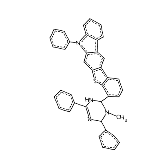 CN1C(c2ccccc2)N=C(c2ccccc2)NC1c1cccc2c1sc1cc3c(cc12)c1ccccc1n3-c1ccccc1